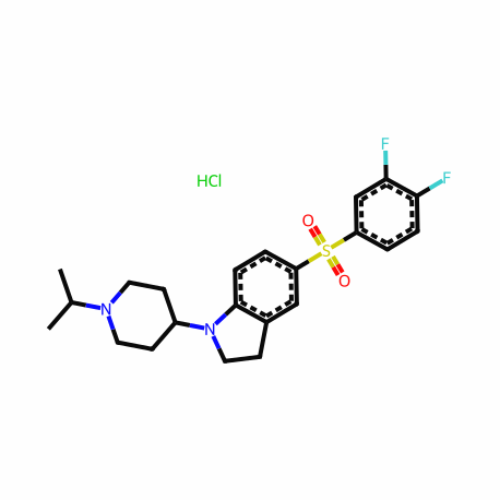 CC(C)N1CCC(N2CCc3cc(S(=O)(=O)c4ccc(F)c(F)c4)ccc32)CC1.Cl